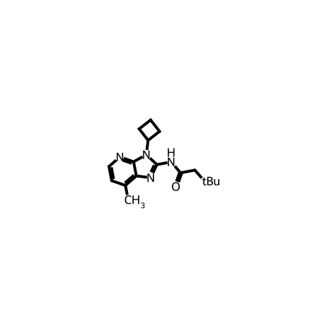 Cc1ccnc2c1nc(NC(=O)CC(C)(C)C)n2C1CCC1